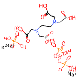 O=C(O)CN(CCN(CC(=O)O)CC(=O)O)CC(=O)O.O=P([O-])(O)O.O=P([O-])(O)O.O=P([O-])(O)O.[K+].[Na+].[Na+]